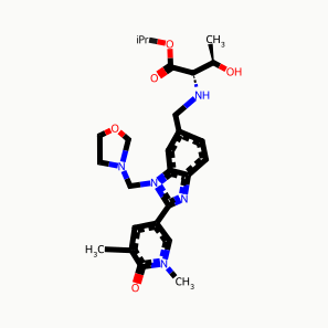 Cc1cc(-c2nc3ccc(CN[C@H](C(=O)OC(C)C)[C@@H](C)O)cc3n2CN2CCOC2)cn(C)c1=O